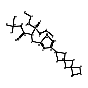 CCOP(=O)(OCC)C(Cc1nc(C2CC3(C2)CC2(CCC2)C3)no1)C(=O)OC(C)(C)C